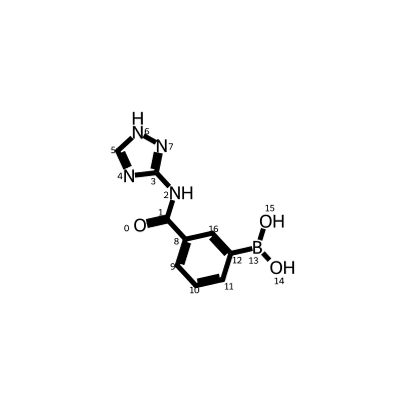 O=C(Nc1nc[nH]n1)c1cccc(B(O)O)c1